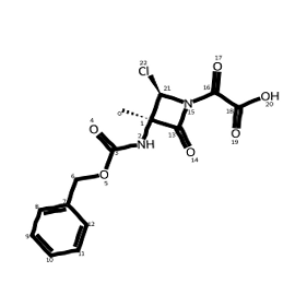 C[C@@]1(NC(=O)OCc2ccccc2)C(=O)N(C(=O)C(=O)O)[C@@H]1Cl